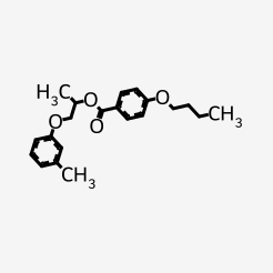 CCCCOc1ccc(C(=O)OC(C)COc2cccc(C)c2)cc1